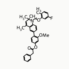 COc1cc(OC(=O)Cc2ccccc2)ccc1-c1ccc2c(c1)C(C)=CC(C)(C)N2COc1cc(F)ccc1C